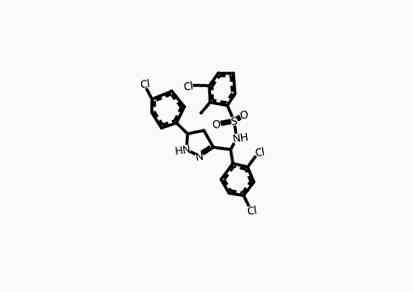 Cc1c(Cl)cccc1S(=O)(=O)NC(C1=NNC(c2ccc(Cl)cc2)C1)c1ccc(Cl)cc1Cl